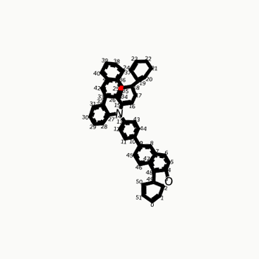 C1=CC2Oc3ccc4cc(-c5ccc(N(C6=CCC(C7=CCCC=C7)C=C6)c6ccccc6-c6ccc7ccccc7c6)cc5)ccc4c3C2C=C1